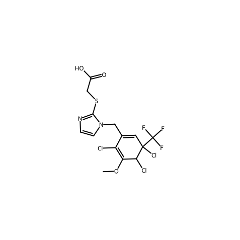 COC1=C(Cl)C(Cn2ccnc2SCC(=O)O)=CC(Cl)(C(F)(F)F)C1Cl